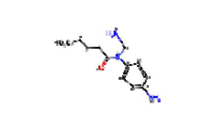 NCN(C(=O)CCCC(=O)O)c1ccc(N)cc1